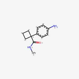 CCCNC(=O)C1(c2ccc(N)cc2)CCC1